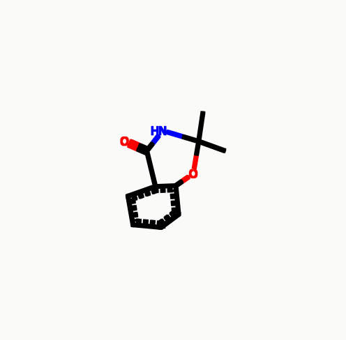 CC1(C)NC(=O)c2cc[c]cc2O1